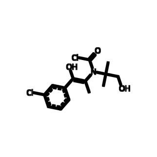 C/C(=C(/O)c1cccc(Cl)c1)N(C(=O)Cl)C(C)(C)CO